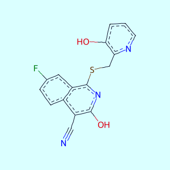 N#Cc1c(O)nc(SCc2ncccc2O)c2cc(F)ccc12